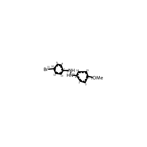 COc1ccc(NNc2ccc(Br)cc2)cc1